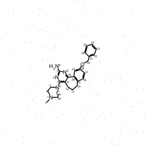 CN1CCN(c2nc(N)nc3c2CCCc2ccc(OCc4ccccc4)cc2-3)CC1